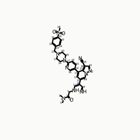 CN(C)C(=O)CN/C=C(\C=N)c1cc(-c2ccc(N3CCN(Cc4ccc(S(C)(=O)=O)cc4)CC3)nc2)c2c(C#N)cnn2c1